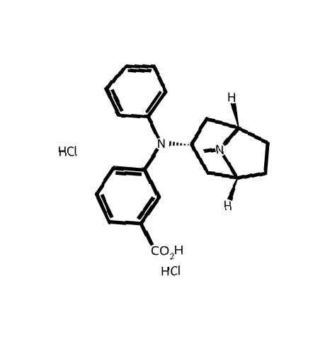 CN1[C@@H]2CC[C@H]1C[C@@H](N(c1ccccc1)c1cccc(C(=O)O)c1)C2.Cl.Cl